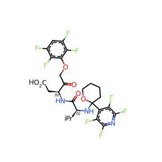 CC(C)[C@H](NC1(c2c(F)c(F)nc(F)c2F)CCCCO1)C(=O)N[C@@H](CC(=O)O)C(=O)COc1c(F)c(F)cc(F)c1F